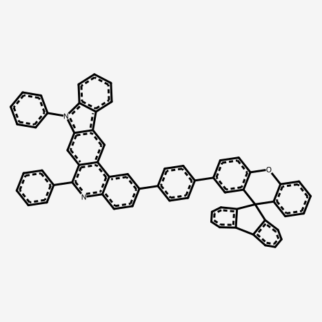 c1ccc(-c2nc3ccc(-c4ccc(-c5ccc6c(c5)C5(c7ccccc7O6)c6ccccc6-c6ccccc65)cc4)cc3c3cc4c5ccccc5n(-c5ccccc5)c4cc23)cc1